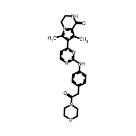 Cc1c(-c2ccnc(Nc3ccc(CC(=O)N4CCOCC4)cc3)n2)c(C)n2c1C(=O)NCC2